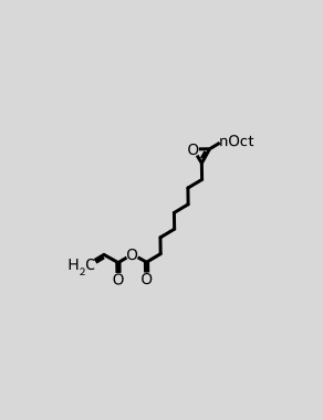 C=CC(=O)OC(=O)CCCCCCCC1=C(CCCCCCCC)O1